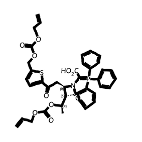 C=CCOC(=O)OCc1ccc(C(=O)C[C@@H]2[C@@H]([C@@H](C)OC(=O)OCC=C)C(=O)N2C(C(=O)O)=P(c2ccccc2)(c2ccccc2)c2ccccc2)s1